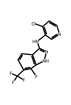 Fc1c(C(F)(F)F)ccc2c(Nc3cnccc3Cl)n[nH]c12